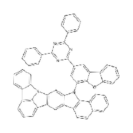 c1ccc(-c2nc(-c3ccccc3)nc(-c3cc(-n4c5cc6c(cc5c5ccc7ccccc7c54)c4cccc5c7ccccc7n6c54)c4oc5ccccc5c4c3)n2)cc1